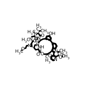 CCn1c(-c2cccnc2[C@H](C)OC)c2c3cc(ccc31)-c1cc(O)cc(c1)C[C@H](NC(=O)[C@H](C(C)C)N(C)C(=O)CN(C)C(=O)C1CN1CCOC)C(=O)N1CCC[C@H](N1)C(=O)OCC(C)(C)C2